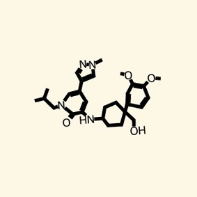 COc1ccc(C2(CO)CCC(Nc3cc(-c4cnn(C)c4)cn(CC(C)C)c3=O)CC2)cc1OC